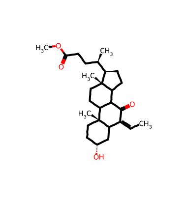 CC=C1C(=O)C2C(CC[C@@]3(C)C2CC[C@@H]3[C@H](C)CCC(=O)OC)[C@@]2(C)CC[C@@H](O)CC12